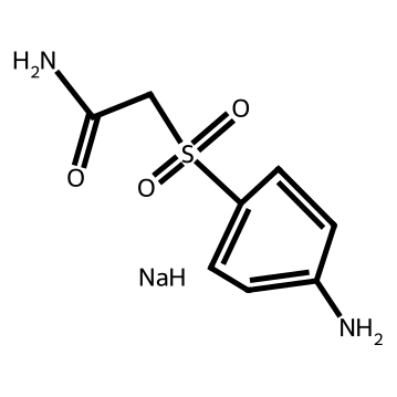 NC(=O)CS(=O)(=O)c1ccc(N)cc1.[NaH]